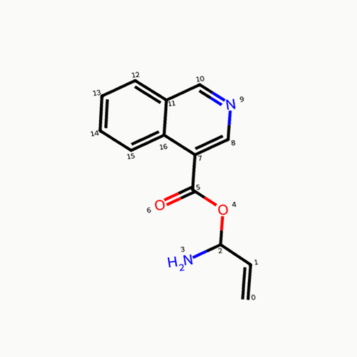 C=CC(N)OC(=O)c1cncc2ccccc12